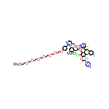 COCCOCCOCCOCCOCCOCCOCCOc1ccc(-c2nccc(COc3ccc(OC)cc3C[C@@H](Oc3ncnc4sc(-c5ccc(F)cc5)c(-c5c(C)c(Cl)c(O[C@@H](C)CN6CCN(C)CC6)c(Cl)c5C)c34)C(=O)O)n2)cc1